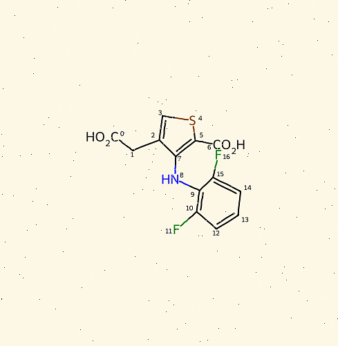 O=C(O)Cc1csc(C(=O)O)c1Nc1c(F)cccc1F